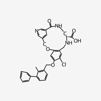 Cc1c(COc2cc3c(cc2Cl)CN[C@H](C(=O)O)CCNC(=O)c2cncc(c2)CO3)cccc1-c1ccccc1